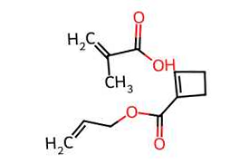 C=C(C)C(=O)O.C=CCOC(=O)C1=CCC1